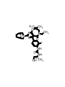 CCN1CC(C)(C)Oc2nc(N3CC4CCC(C3)O4)nc(-c3ccc(NC(=O)N[C@H](C)CO)c(F)c3)c2C1=O